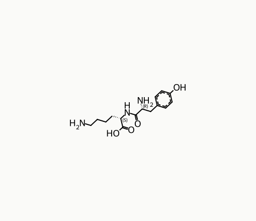 NCCCC[C@H](NC(=O)[C@H](N)Cc1ccc(O)cc1)C(=O)O